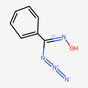 [N-]=[N+]=N/C(=N\O)c1ccccc1